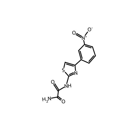 NC(=O)C(=O)Nc1nc(-c2cccc([N+](=O)[O-])c2)cs1